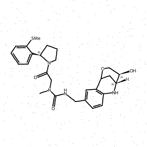 CSc1ccccc1[C@H]1CCCN1C(=O)CN(C)C(=O)NCc1ccc2c(c1)C1C[C@@H](N2)[C@H](O)CO1